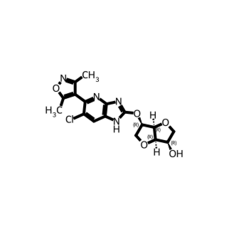 Cc1noc(C)c1-c1nc2nc(O[C@@H]3CO[C@H]4[C@@H]3OC[C@H]4O)[nH]c2cc1Cl